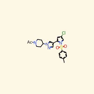 CC(=O)N1CCC(n2cc(-c3cc(Cl)cn3S(=O)(=O)c3ccc(C)cc3)cn2)CC1